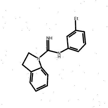 CCc1cccc(NC(=N)N2CCc3ccccc32)c1